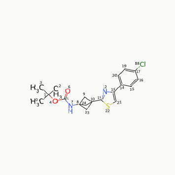 CC(C)(C)OC(=O)NC12CC(c3nc(-c4ccc(Cl)cc4)cs3)(C1)C2